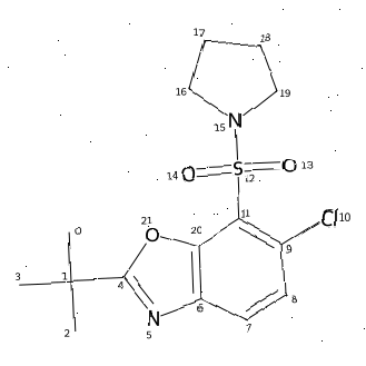 CC(C)(C)c1nc2ccc(Cl)c(S(=O)(=O)N3CCCC3)c2o1